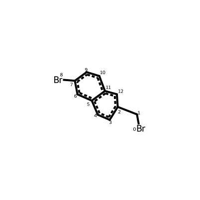 BrCc1ccc2cc(Br)ccc2c1